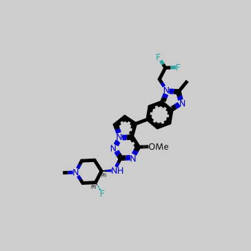 COc1nc(N[C@@H]2CCN(C)C[C@H]2F)nn2ccc(-c3ccc4nc(C)n(CC(F)F)c4c3)c12